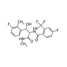 CNC(=O)C(NC(=O)c1ccc(F)cc1C(F)(F)F)C(O)c1cccc(F)c1C